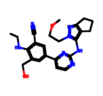 CCNc1c(C#N)cc(-c2ccnc(Nc3c4c(nn3CCOC)CCC4)n2)cc1CO